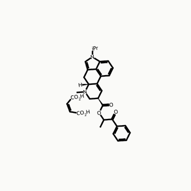 CC(OC(=O)[C@@H]1C=C2c3cccc4c3c(cn4C(C)C)C[C@H]2N(C)C1)C(=O)c1ccccc1.O=C(O)/C=C\C(=O)O